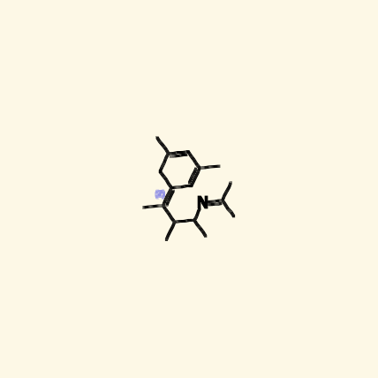 CC1=C/C(=C(/C)C(C)C(C)N=C(C)C)CC(C)=C1